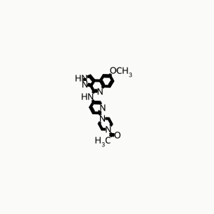 COc1ccc2nc(Nc3ccc(N4CCN(C(C)=O)CC4)nc3)c3n[nH]cc3c2c1